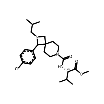 COC(=O)[C@@H](NC(=O)N1CCC2(CC1)CN(CC(C)C)C2c1ccc(Cl)cc1)C(C)C